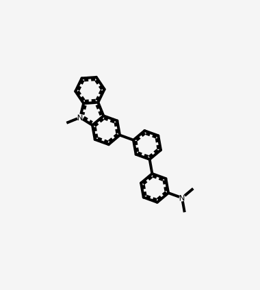 CN(C)c1cccc(-c2cccc(-c3ccc4c(c3)c3ccccc3n4C)c2)c1